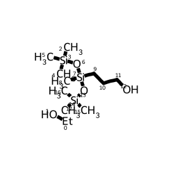 CCO.C[Si](C)(C)O[Si](C)(CCCO)O[Si](C)(C)C